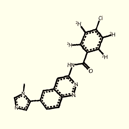 [2H]c1c([2H])c(C(=O)Nc2cc3cc(-c4cncn4C)ccc3nn2)c([2H])c([2H])c1Cl